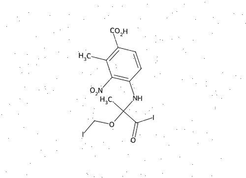 Cc1c(C(=O)O)ccc(NC(C)(OCI)C(=O)I)c1[N+](=O)[O-]